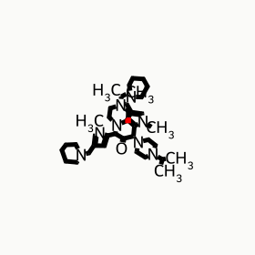 CC(C)N1CCN(C(C(=O)C(c2cc(CN3CCCCC3)cn2C)N2CCN(C(C)C)CC2)c2cc(CN3CCCCC3)cn2C)CC1